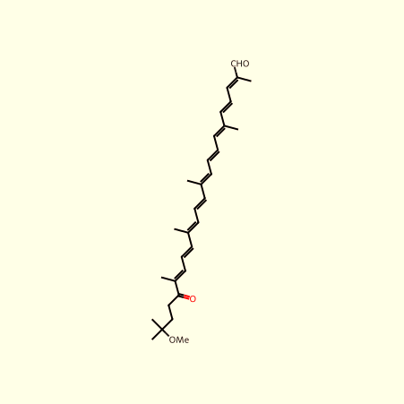 COC(C)(C)CCC(=O)/C(C)=C/C=C/C(C)=C/C=C/C(C)=C/C=C/C=C(C)/C=C/C=C(\C)C=O